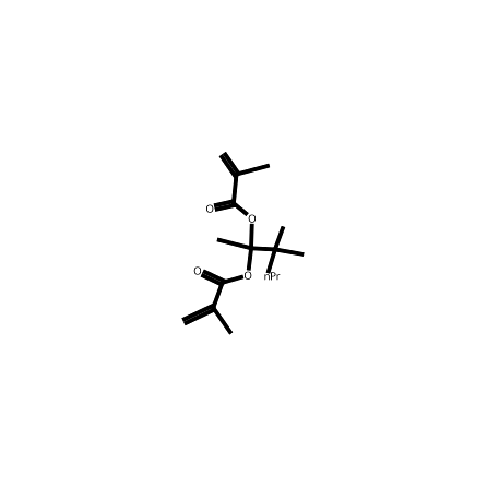 C=C(C)C(=O)OC(C)(OC(=O)C(=C)C)C(C)(C)CCC